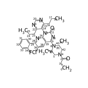 C=CC(=O)N1C[C@@H](C)N(c2nc(=O)n(-c3c(CCC)ncnc3CCC)c3nc(-c4ccccc4F)c(Cl)cc23)[C@H](C)C1